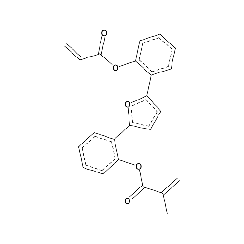 C=CC(=O)Oc1ccccc1-c1ccc(-c2ccccc2OC(=O)C(=C)C)o1